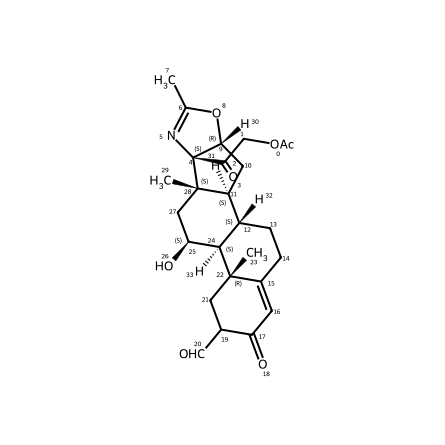 CC(=O)OCC(=O)[C@@]12N=C(C)O[C@@H]1C[C@H]1[C@@H]3CCC4=CC(=O)C(C=O)C[C@]4(C)[C@H]3[C@@H](O)C[C@@]12C